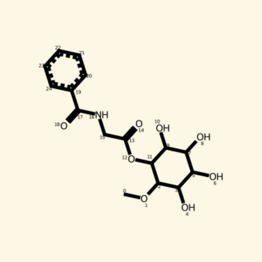 COC1C(O)C(O)C(O)C(O)C1OC(=O)CNC(=O)c1ccccc1